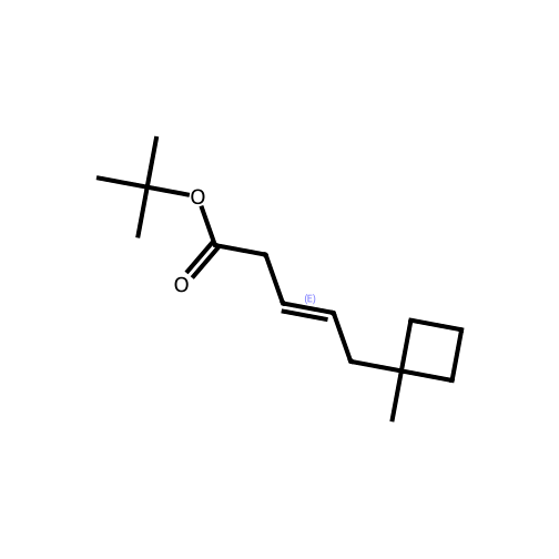 CC1(C/C=C/CC(=O)OC(C)(C)C)CCC1